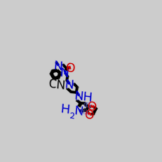 C=C(/C=C1/OCCO/C1=C/N)CNC1CCN(CCN2C(=O)CN(C)c3ccc(C#N)cc32)CC1